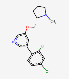 CN1CCC[C@H]1COc1cncc(-c2ccc(Cl)cc2Cl)c1